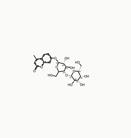 Cc1cc(=O)oc2cc(O[C@@H]3OC(CO)[C@@H](O[C@@H]4O[C@H](CO)[C@H](O)[C@H](O)[C@H]4O)[C@H](O)[C@H]3O)ccc12